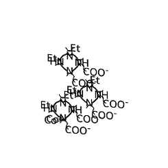 CCC1=C(C)c2cc3[nH]c(cc4nc(cc5[nH]c(cc1n2)c(C)c5CCC(=O)[O-])C(CCC(=O)[O-])=C4C)c(C)c3CC.CCC1=C(C)c2cc3[nH]c(cc4nc(cc5[nH]c(cc1n2)c(C)c5CCC(=O)[O-])C(CCC(=O)[O-])=C4C)c(C)c3CC.CCC1=C(C)c2cc3[nH]c(cc4nc(cc5[nH]c(cc1n2)c(C)c5CCC(=O)[O-])C(CCC(=O)[O-])=C4C)c(C)c3CC.[Co+3].[Co+3]